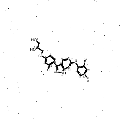 OCC(O)COc1ccc(-c2n[nH]c3nc(Oc4ccc(F)cc4F)ncc23)c(Cl)c1